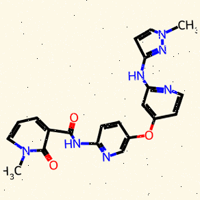 Cn1ccc(Nc2cc(Oc3ccc(NC(=O)c4cccn(C)c4=O)nc3)ccn2)n1